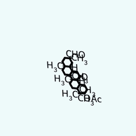 CC(=O)O[C@H]1CC[C@@]2(C)C(CC[C@]3(C)[C@@H]2C(=O)C=C2[C@H]4C[C@@](C)(C=O)CC[C@]4(C)CC[C@]23C)C1(C)C